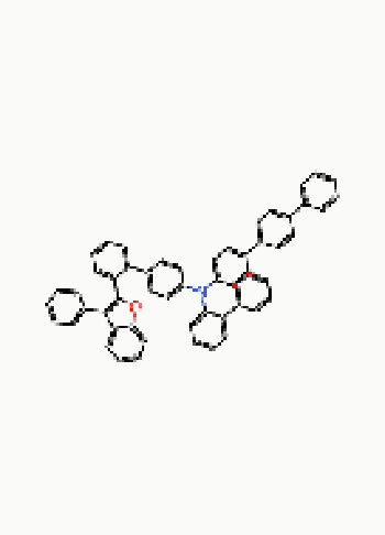 c1ccc(-c2ccc(-c3ccc(N(c4ccc(-c5ccccc5-c5oc6ccccc6c5-c5ccccc5)cc4)c4ccccc4-c4ccccc4)cc3)cc2)cc1